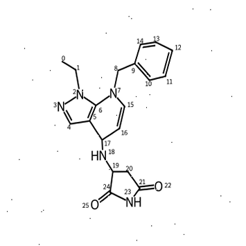 CCn1ncc2c1N(Cc1ccccc1)C=CC2NC1CC(=O)NC1=O